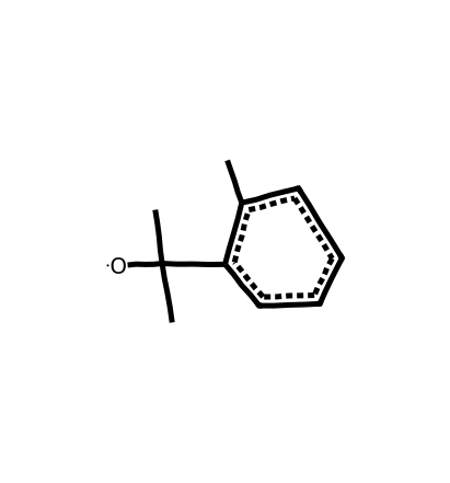 Cc1ccccc1C(C)(C)[O]